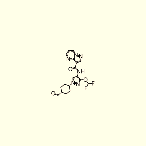 O=C[C@H]1CC[C@H](n2cc(NC(=O)c3cnn4cccnc34)c(OC(F)F)n2)CC1